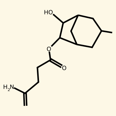 C=C(N)CCC(=O)OC1C2CC(C)CC(C2)C1O